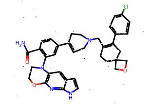 NC(=O)c1ccc(C2=CCN(CC3=C(c4ccc(Cl)cc4)CC4(CC3)COC4)CC2)cc1N1CCOc2nc3[nH]ccc3cc21